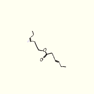 CCC=CCC(=O)OCC/C=C\CC